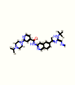 C=N/C=C(\N=C(/C)c1ccc2cnc(NC(=O)c3ccnc(N4CCN(C(C)C)CC4)c3)cc2c1)NC(C)(C)C